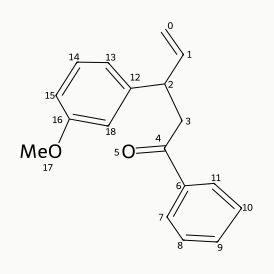 C=CC(CC(=O)c1ccccc1)c1cccc(OC)c1